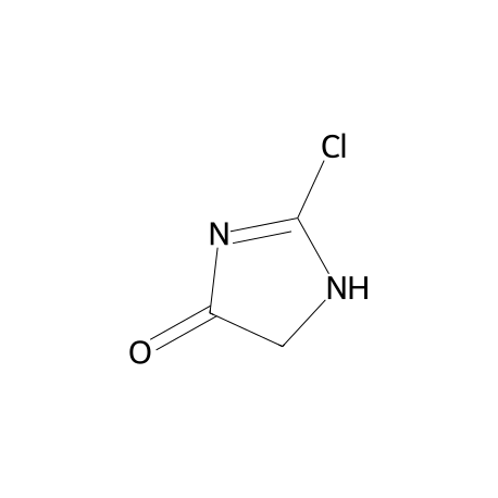 O=C1CNC(Cl)=N1